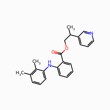 Cc1cccc(Nc2ccccc2C(=O)OCC(C)c2cccnc2)c1C